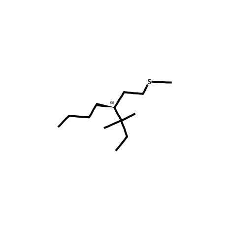 CCCC[C@@H](CCSC)C(C)(C)CC